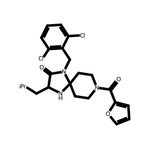 CC(C)CC1NC2(CCN(C(=O)c3ccco3)CC2)N(Cc2c(Cl)cccc2Cl)C1=O